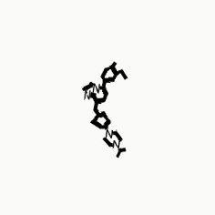 CCc1cc(-c2ccc(Cc3ccc(N4CCN(C(C)C)CC4)cc3)c3nccn23)ccc1C